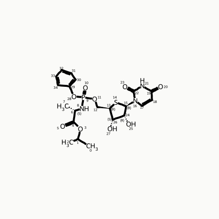 CC(C)OC(=O)[C@H](C)NP(=O)(OC[C@H]1S[C@@H](n2ccc(=O)[nH]c2=O)[C@H](O)[C@@H]1O)Oc1ccccc1